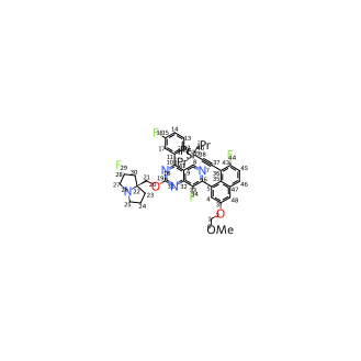 COCOc1cc(-c2ncc3c(-c4cccc(F)c4)nc(OC[C@@]45CCCN4C[C@H](F)C5)nc3c2F)c2c(C#C[Si](C(C)C)(C(C)C)C(C)C)c(F)ccc2c1